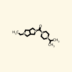 CCN1CC2CN(C(=O)N3CCN(C(C)C)CC3)CC2C1